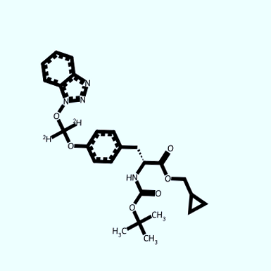 [2H]C([2H])(Oc1ccc(C[C@@H](NC(=O)OC(C)(C)C)C(=O)OCC2CC2)cc1)On1nnc2ccccc21